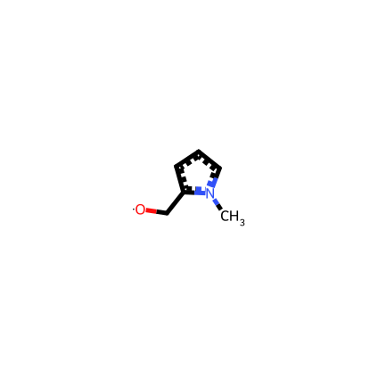 Cn1cccc1C[O]